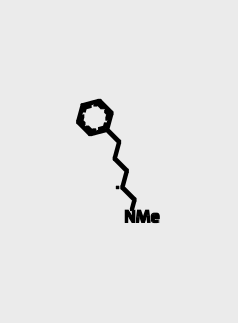 CNC[CH]CCCc1ccccc1